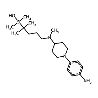 CN(CCCC(C)(C)[Si](C)(C)O)C1CCN(c2ccc(N)cc2)CC1